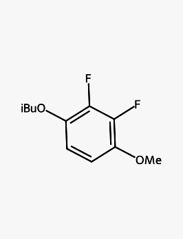 COc1ccc(OCC(C)C)c(F)c1F